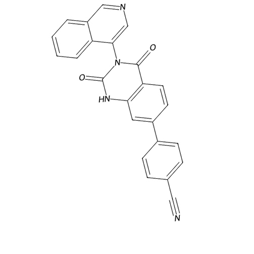 N#Cc1ccc(-c2ccc3c(=O)n(-c4cncc5ccccc45)c(=O)[nH]c3c2)cc1